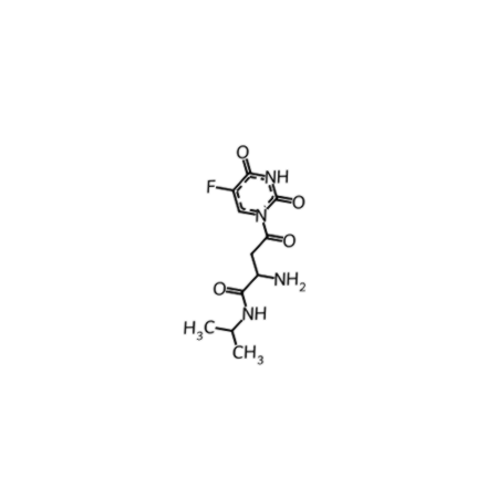 CC(C)NC(=O)C(N)CC(=O)n1cc(F)c(=O)[nH]c1=O